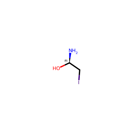 N[C@H](O)CI